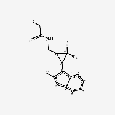 CCC(=O)NCC1C(c2c(C)cc3occcc2-3)C1(F)F